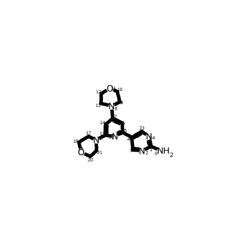 Nc1ncc(-c2cc(N3CCOCC3)cc(N3CCOCC3)n2)cn1